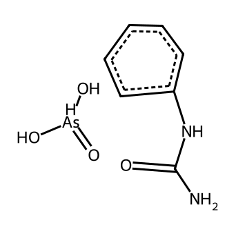 NC(=O)Nc1ccccc1.O=[AsH](O)O